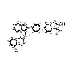 C[C@@H](OC(=O)Nc1c(-c2ccc(-c3ccc(C4(C(=O)O)CC4)cc3)cc2)oc2cnccc12)c1ccccc1Cl